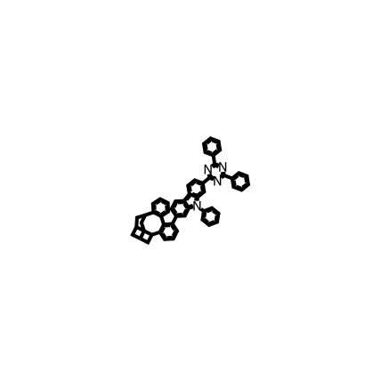 c1ccc(-c2nc(-c3ccccc3)nc(-c3ccc4c5ccc(-c6cccc7c6-c6ccccc6C6CC8CC9CC7C89C6)cc5n(-c5ccccc5)c4c3)n2)cc1